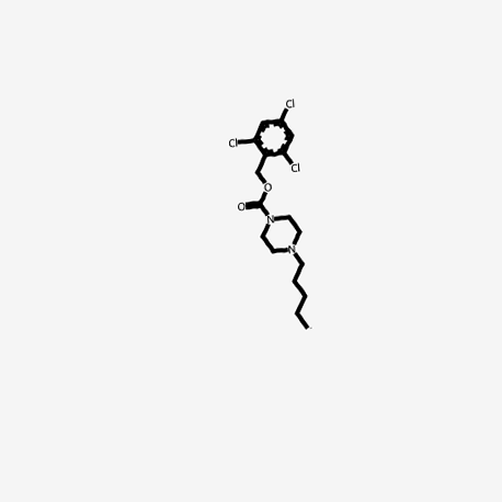 [CH2]CCCCN1CCN(C(=O)OCc2c(Cl)cc(Cl)cc2Cl)CC1